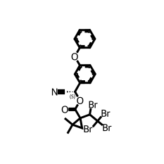 CC1(C)CC1(C(=O)O[C@H](C#N)c1cccc(Oc2ccccc2)c1)C(Br)C(Br)(Br)Br